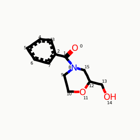 O=C(c1[c]cccc1)N1CCOC(CO)C1